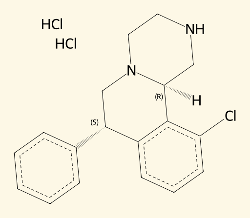 Cl.Cl.Clc1cccc2c1[C@@H]1CNCCN1C[C@H]2c1ccccc1